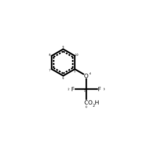 O=C(O)C(F)(F)Oc1cc[c]cc1